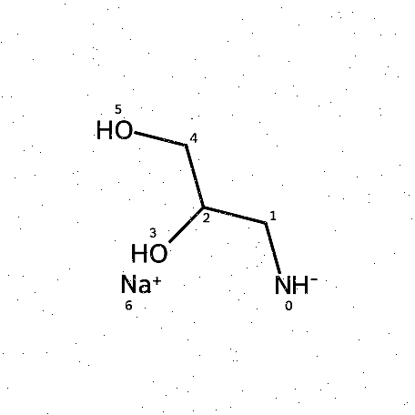 [NH-]CC(O)CO.[Na+]